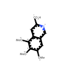 COc1cc2cnc(C(=O)O)cc2c(OC)c1OC